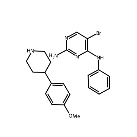 COc1ccc(C2CCNCC2)cc1.Nc1ncc(Br)c(Nc2ccccc2)n1